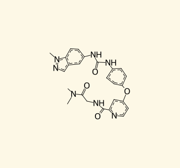 CN(C)C(=O)CNC(=O)c1cc(Oc2ccc(NC(=O)Nc3ccc4c(cnn4C)c3)cc2)ccn1